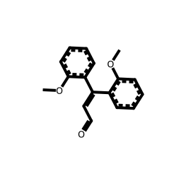 COc1ccccc1C(=CC=O)c1ccccc1OC